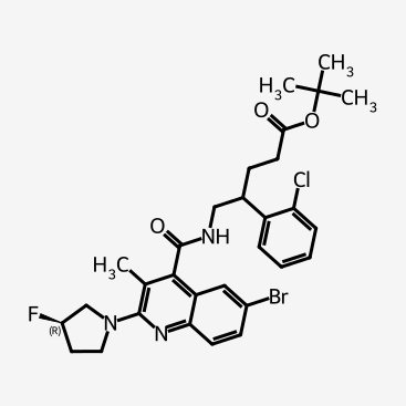 Cc1c(N2CC[C@@H](F)C2)nc2ccc(Br)cc2c1C(=O)NCC(CCC(=O)OC(C)(C)C)c1ccccc1Cl